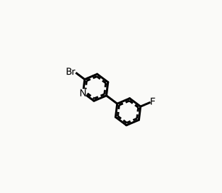 Fc1cccc(-c2ccc(Br)nc2)c1